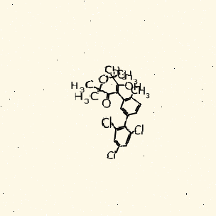 Cc1ccc(-c2c(Cl)cc(Cl)cc2Cl)cc1C1=C(O)C(C)(C)OC(C)(C)C1=O